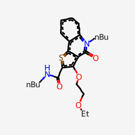 CCCCNC(=O)c1sc2c(c1OCCOCC)c(=O)n(CCCC)c1ccccc21